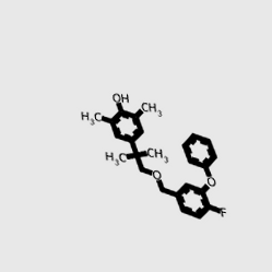 Cc1cc(C(C)(C)COCc2ccc(F)c(Oc3ccccc3)c2)cc(C)c1O